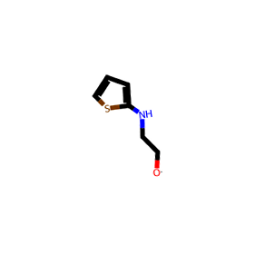 [O]CCNc1cccs1